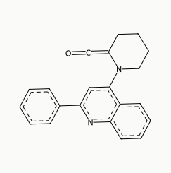 O=C=C1CCCCN1c1cc(-c2ccccc2)nc2ccccc12